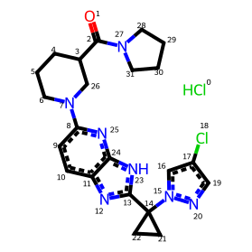 Cl.O=C(C1CCCN(c2ccc3nc(C4(n5cc(Cl)cn5)CC4)[nH]c3n2)C1)N1CCCC1